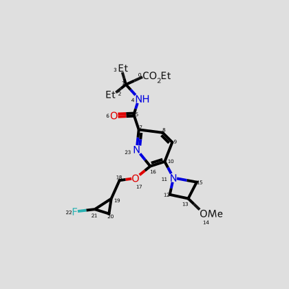 CCOC(=O)C(CC)(CC)NC(=O)c1ccc(N2CC(OC)C2)c(OCC2CC2F)n1